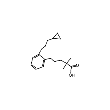 CC(C)(CCCc1ccccc1CCCC1CC1)C(=O)O